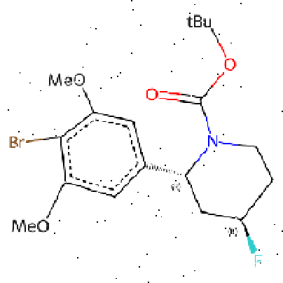 COc1cc([C@H]2C[C@H](F)CCN2C(=O)OC(C)(C)C)cc(OC)c1Br